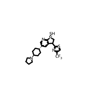 FC(F)(F)c1csc(C2CN(S)c3ncc([C@H]4CC[C@H](N5CCCC5)CC4)cc32)n1